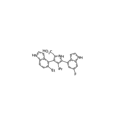 CCc1ccc2[nH]ccc2c1-c1c(C(=O)O)[nH]c(-c2cc(F)cc3[nH]ccc23)c1C(C)C